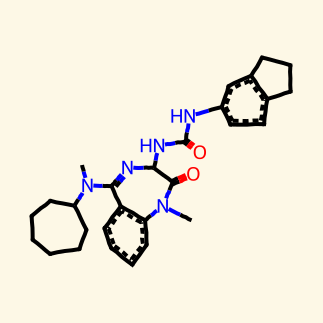 CN1C(=O)C(NC(=O)Nc2ccc3c(c2)CCC3)N=C(N(C)C2CCCCCC2)c2ccccc21